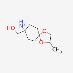 CC1COC2(CCC(N)(CO)CC2)O1